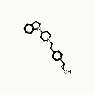 ON=Cc1ccc(CCN2CCC(N3CCc4ccccc43)CC2)cc1